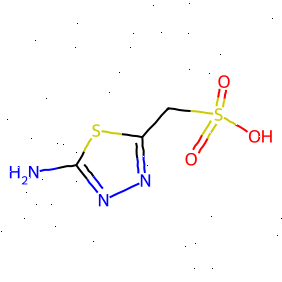 Nc1nnc(CS(=O)(=O)O)s1